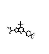 CC(C)(C)c1cc(C2=CCC(Cl)(Cl)CC2)nc2cc(C(=O)O)oc12